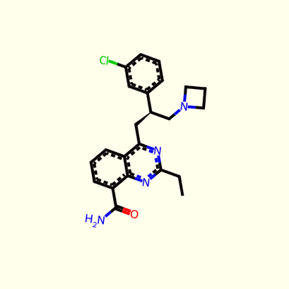 CCc1nc(C[C@H](CN2CCC2)c2cccc(Cl)c2)c2cccc(C(N)=O)c2n1